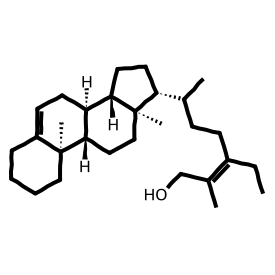 CCC(CCC(C)[C@H]1CC[C@H]2[C@@H]3CC=C4CCCC[C@]4(C)[C@H]3CC[C@]12C)=C(C)CO